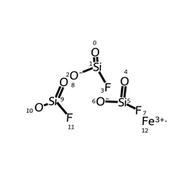 O=[Si]([O-])F.O=[Si]([O-])F.O=[Si]([O-])F.[Fe+3]